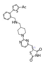 CC(=O)c1ccc(-c2ccccc2CNCC2CCN(c3nccc(/C=C4\SC(=O)NC4=O)n3)CC2)s1